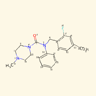 CN1CCN(C(=O)N(Cc2ccc(C(=O)O)cc2F)c2ccccc2)CC1